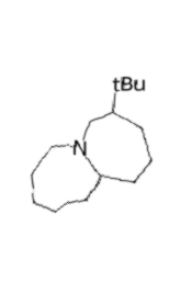 CC(C)(C)C1CCCC2CCCCCN2C1